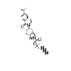 CCN(C(=O)c1ccc(C(C)C)cc1)C1CCc2nn(C(=O)OC(C)(C)CN=[N+]=[N-])cc2C1